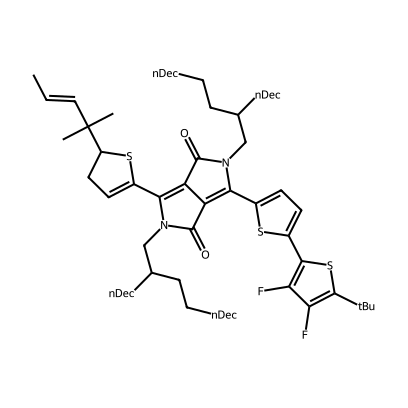 CC=CC(C)(C)C1CC=C(C2=C3C(=O)N(CC(CCCCCCCCCC)CCCCCCCCCCCC)C(c4ccc(-c5sc(C(C)(C)C)c(F)c5F)s4)=C3C(=O)N2CC(CCCCCCCCCC)CCCCCCCCCCCC)S1